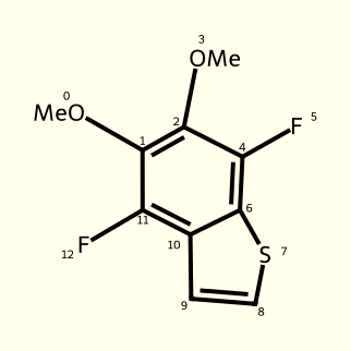 COc1c(OC)c(F)c2sccc2c1F